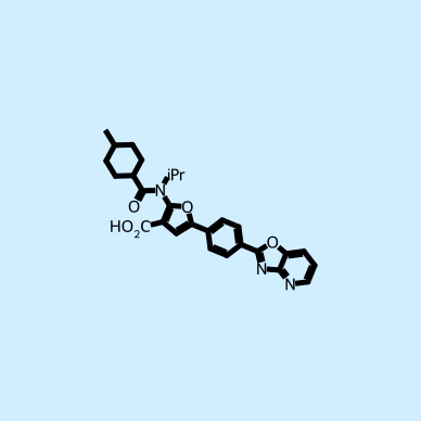 CC1CCC(C(=O)N(c2oc(-c3ccc(-c4nc5ncccc5o4)cc3)cc2C(=O)O)C(C)C)CC1